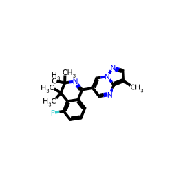 Cc1cnn2cc(C3=NC(C)(C)C(C)(C)c4c(F)cccc43)cnc12